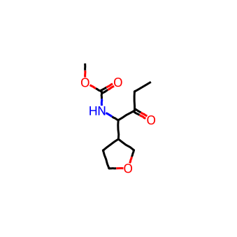 CCC(=O)C(NC(=O)OC)C1CCOC1